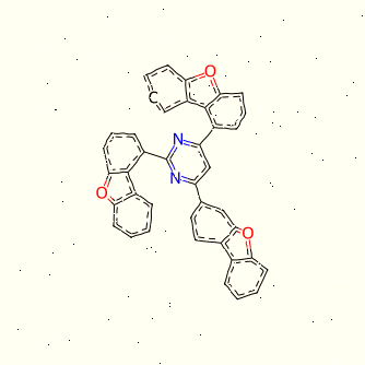 c1ccc2c(c1)oc1cc(-c3cc(-c4cccc5oc6ccccc6c45)nc(-c4cccc5oc6ccccc6c45)n3)ccc12